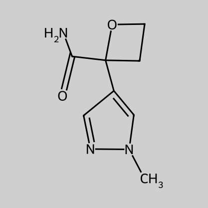 Cn1cc(C2(C(N)=O)CCO2)cn1